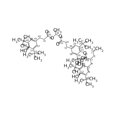 C=CCC(Cc1cc(C(C)(C)C)c(O)c(C(C)(C)C)c1)C(=O)Oc1c(C(C)(C)C)cc(CCC(=O)OC(C)OC(=O)CCc2cc(C(C)(C)C)c(O)c(C(C)(C)C)c2)cc1C(C)(C)C